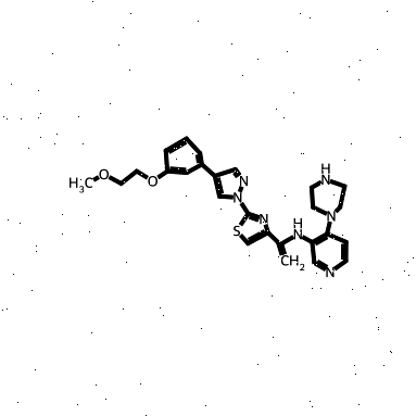 C=C(Nc1cnccc1N1CCNCC1)c1csc(-n2cc(-c3cccc(OCCOC)c3)cn2)n1